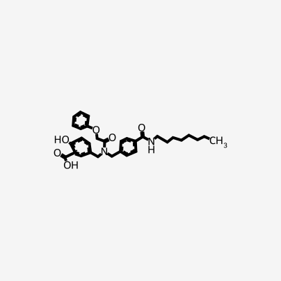 CCCCCCCCNC(=O)c1ccc(CN(Cc2ccc(O)c(C(=O)O)c2)C(=O)COc2ccccc2)cc1